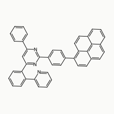 c1ccc(-c2cc(-c3ccccc3-c3ccccn3)nc(-c3ccc(-c4ccc5ccc6cccc7ccc4c5c67)cc3)n2)cc1